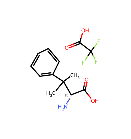 CC(C)(c1ccccc1)[C@@H](N)C(=O)O.O=C(O)C(F)(F)F